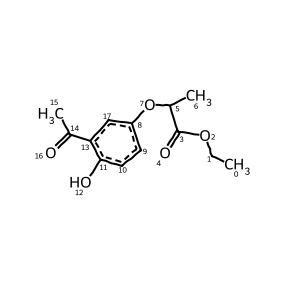 CCOC(=O)C(C)Oc1ccc(O)c(C(C)=O)c1